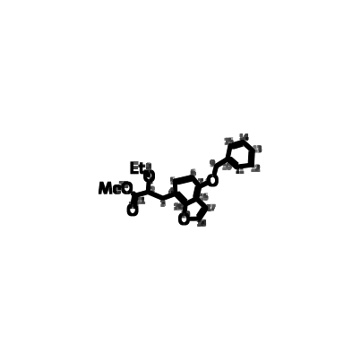 CCOC(Cc1ccc(OCc2ccccc2)c2ccoc12)C(=O)OC